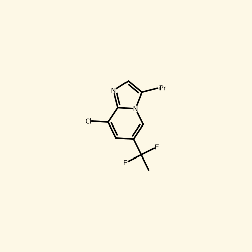 CC(C)c1cnc2c(Cl)cc(C(C)(F)F)cn12